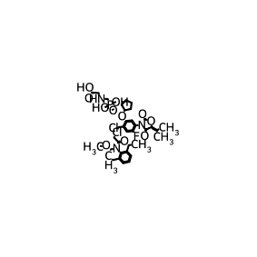 CC(C)=C1OC(=O)N(c2cc(OC3CCCC3)c(Cl)cc2F)C1=O.CCc1cccc(CC)c1N(COC)C(=O)CCl.O=C(O)CNCP(=O)(O)O